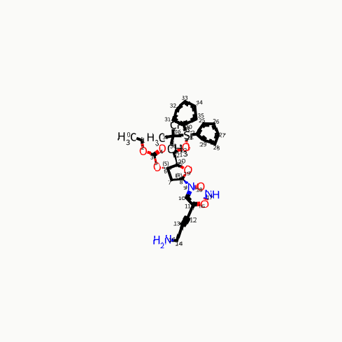 C[CH]OC(=O)O[C@H]1C[C@H](n2cc(C#CCN)o[nH]o2)O[C@@H]1CO[Si](c1ccccc1)(c1ccccc1)C(C)(C)C